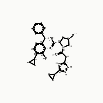 O=C(N[C@@H](c1ccccc1)c1ccc(C2CC2)c(F)c1)[C@@H]1C[C@@H](F)CN1C(=O)Cc1nnc(C2CC2)o1